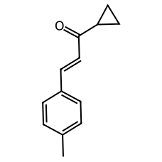 Cc1ccc(/C=C/C(=O)C2CC2)cc1